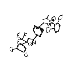 CC(C)S(=O)(=NCc1ccc(C2=NOC(c3cc(Cl)cc(Cl)c3)(C(F)(F)F)C2)cc1)c1c(Cl)cccc1Cl